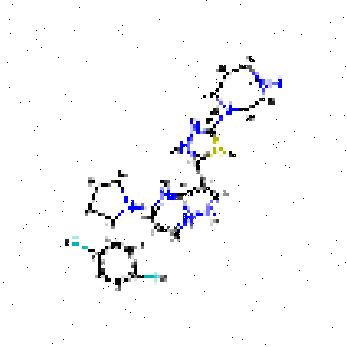 Fc1ccc(F)c(C2CCCN2c2ccn3ncc(-c4nnc(N5CCCNCC5)s4)c3n2)c1